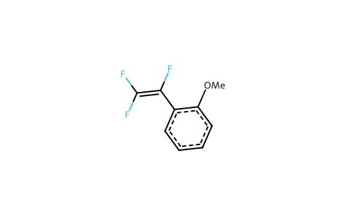 COc1ccccc1C(F)=C(F)F